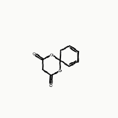 O=C1CC(=O)OC2(C=CC=CC2)O1